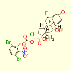 C[C@]12C=CC(=O)C=C1[C@@H](F)C[C@H]1[C@@H]3CC(Cl)[C@](O)(C(=O)COC(=O)OCc4c(Br)ccc(Br)c4[N+](=O)[O-])[C@@]3(C)C[C@H](O)[C@@]12F